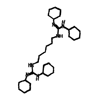 C(CCCNC(=NC1CCCCC1)NC1CCCCC1)CCNC(=NC1CCCCC1)NC1CCCCC1